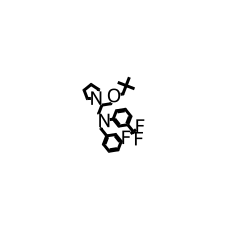 CC(C)(C)COCC(CN(Cc1ccccc1)c1cccc(C(F)(F)F)c1)N1CCCC1